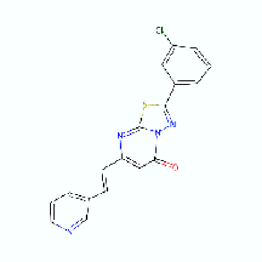 O=c1cc(/C=C/c2cccnc2)nc2sc(-c3cccc(Cl)c3)nn12